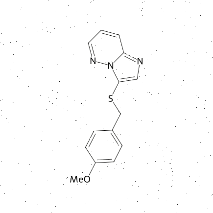 COc1ccc(CSc2cnc3cccnn23)cc1